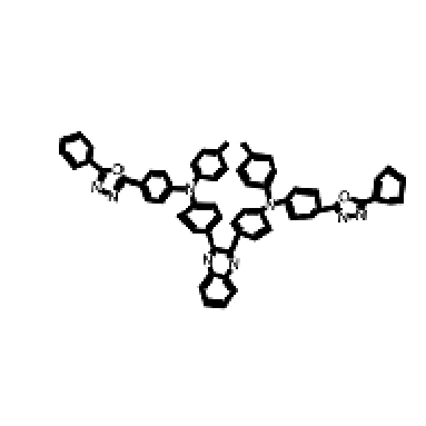 Cc1ccc(N(c2ccc(-c3nnc(-c4ccccc4)o3)cc2)c2ccc(-c3nc4ccccc4nc3-c3ccc(N(c4ccc(C)cc4)c4ccc(-c5nnc(-c6ccccc6)o5)cc4)cc3)cc2)cc1